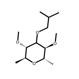 CO[C@@H]1C(OCC(C)C)[C@@H](OC)[C@H](C)O[C@H]1C